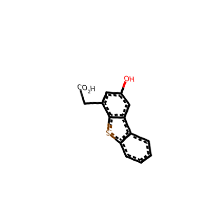 O=C(O)Cc1cc(O)cc2c1sc1ccccc12